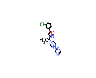 CC(c1cc(-c2cccc(Cl)c2)on1)N1CCN(c2cnccn2)CC1